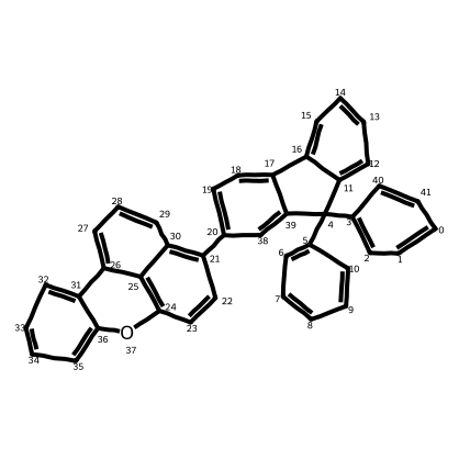 c1ccc(C2(c3ccccc3)c3ccccc3-c3ccc(-c4ccc5c6c(cccc46)-c4ccccc4O5)cc32)cc1